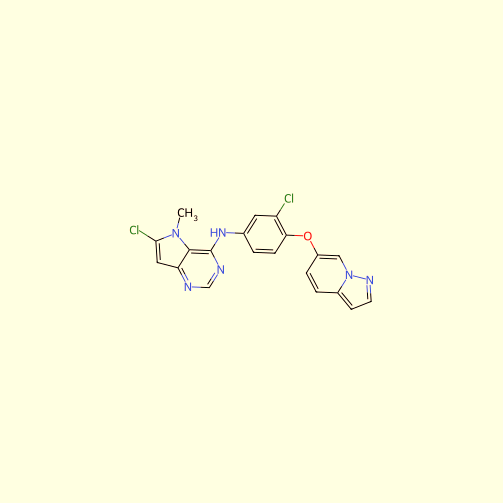 Cn1c(Cl)cc2ncnc(Nc3ccc(Oc4ccc5ccnn5c4)c(Cl)c3)c21